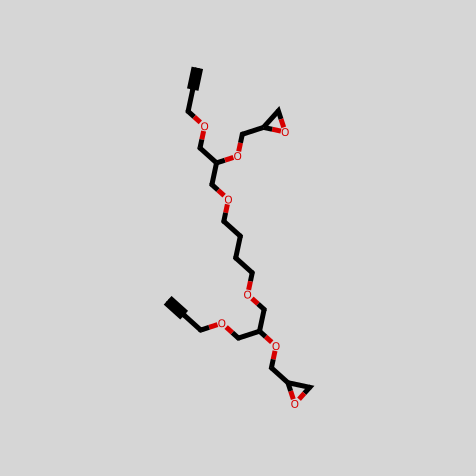 C#CCOCC(COCCCCOCC(COCC#C)OCC1CO1)OCC1CO1